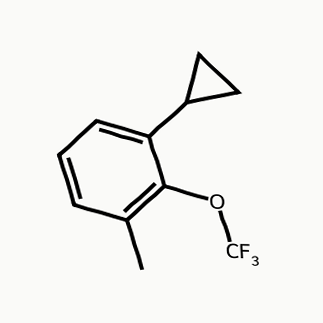 Cc1cccc(C2CC2)c1OC(F)(F)F